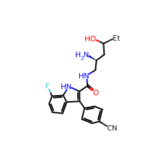 CCC(O)C[C@H](N)CNC(=O)c1[nH]c2c(F)cccc2c1-c1ccc(C#N)cc1